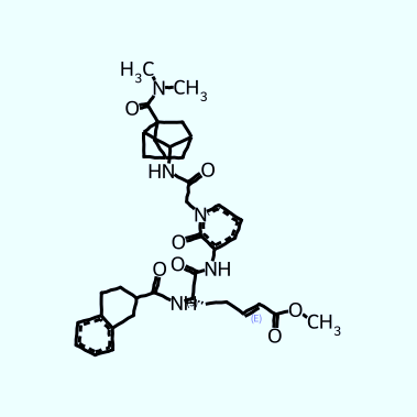 COC(=O)/C=C/CC[C@H](NC(=O)C1CCc2ccccc2C1)C(=O)Nc1cccn(CC(=O)NC2C3CC4CC2C(C(=O)N(C)C)(C4)C3)c1=O